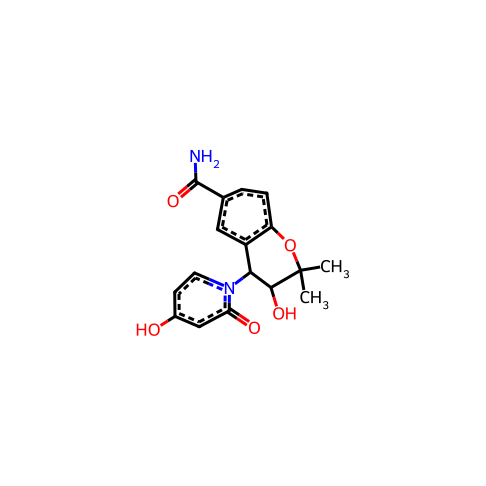 CC1(C)Oc2ccc(C(N)=O)cc2C(n2ccc(O)cc2=O)C1O